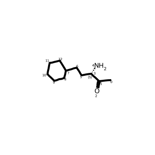 CC(=O)[C@@H](N)CCC1CCCCC1